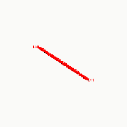 OCCCOCCCOCCCOCCCOCCCOCCCOCCCOCCCOCCCOCCCOCCCOCCCOCCCOCCCOCCCOCCCOCCCOCCCOCCCOCCCOCCCOCCCOCCCOCCCOCCCOCCCOCCCOCCCOCCCOCCCO